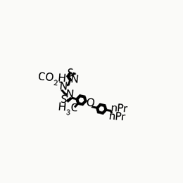 CCCC(CCC)c1ccc(COc2ccc(-c3csc(CN(CC(=O)O)Cc4cscn4)n3)c(C)c2)cc1